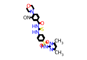 Cc1cc(C)nc(NS(=O)(=O)c2ccc(NC(=S)NC(=O)c3ccc(N4CCOCC4)c(N=O)c3)cc2)n1